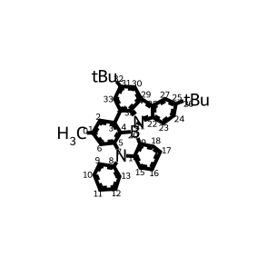 Cc1cc2c3c(c1)N(c1ccccc1)c1ccccc1B3n1c3ccc(C(C)(C)C)cc3c3cc(C(C)(C)C)cc-2c31